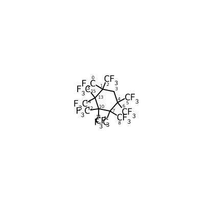 FC(F)(F)C1(C(F)(F)F)CC(C(F)(F)F)(C(F)(F)F)C(C(F)(F)F)(C(F)(F)F)C(C(F)(F)F)(C(F)(F)F)C1(C(F)(F)F)C(F)(F)F